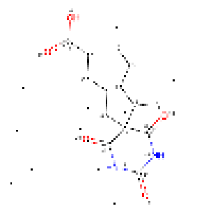 CCCC(C)C1(CCCCC(=O)O)C(=O)NC(=O)NC1=O